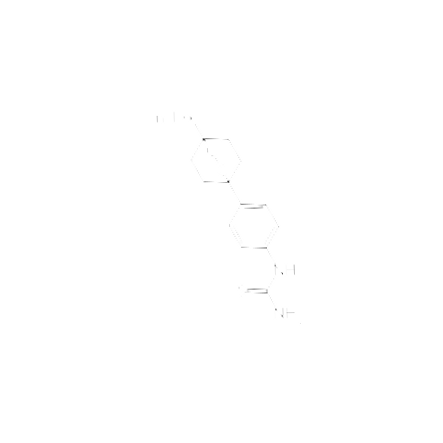 CCCCCCC12CCC(c3ccc(NC(N)=S)cc3)(CC1)CC2